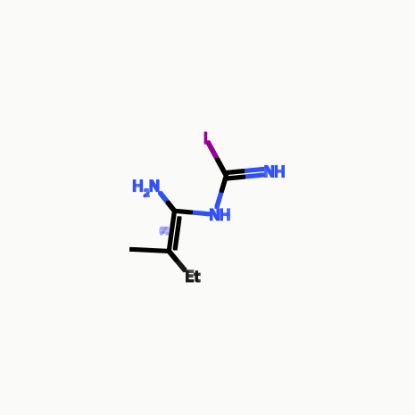 CC/C(C)=C(/N)NC(=N)I